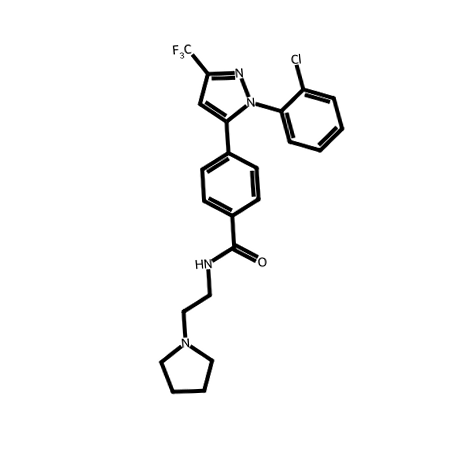 O=C(NCCN1CCCC1)c1ccc(-c2cc(C(F)(F)F)nn2-c2ccccc2Cl)cc1